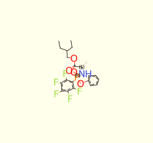 CCC(CC)COC(=O)[C@H](C)N[P@](=O)(Oc1ccccc1)c1c(F)c(F)c(F)c(F)c1F